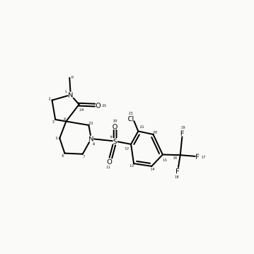 CN1CCC2(CCCN(S(=O)(=O)c3ccc(C(F)(F)F)cc3Cl)C2)C1=O